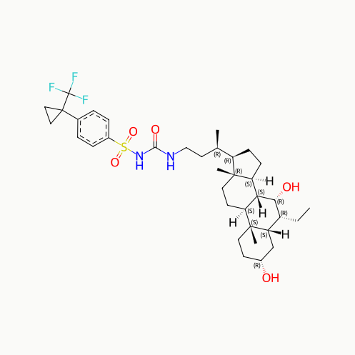 CC[C@H]1[C@@H](O)[C@@H]2[C@H](CC[C@]3(C)[C@@H]([C@H](C)CCNC(=O)NS(=O)(=O)c4ccc(C5(C(F)(F)F)CC5)cc4)CC[C@@H]23)[C@@]2(C)CC[C@@H](O)C[C@@H]12